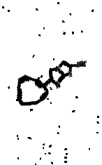 Brc1cn2cc(-c3ccccccccc3)nc2s1